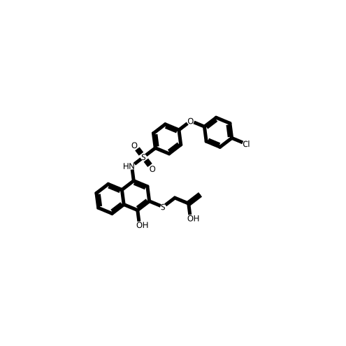 C=C(O)CSc1cc(NS(=O)(=O)c2ccc(Oc3ccc(Cl)cc3)cc2)c2ccccc2c1O